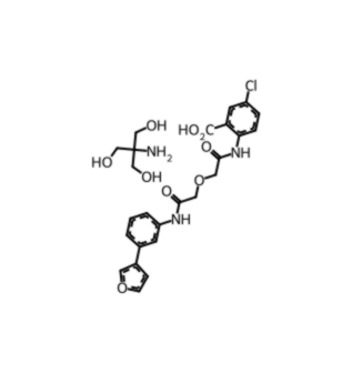 NC(CO)(CO)CO.O=C(COCC(=O)Nc1ccc(Cl)cc1C(=O)O)Nc1cccc(-c2ccoc2)c1